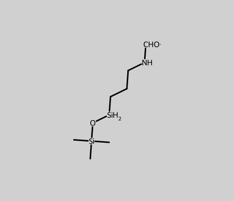 C[Si](C)(C)O[SiH2]CCCN[C]=O